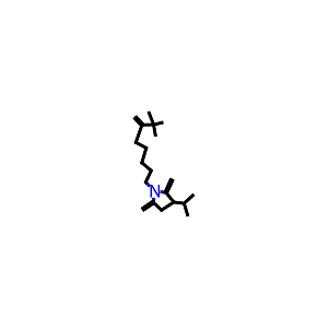 C=C1CC(C(C)C)C(=C)N1CCCCCC(=C)C(C)(C)C